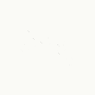 O=C(N1CC=C(Cn2cnc(-c3ccccc3)cc2=O)C2(CCCC2)C1)N1CCNCC1c1ccccc1